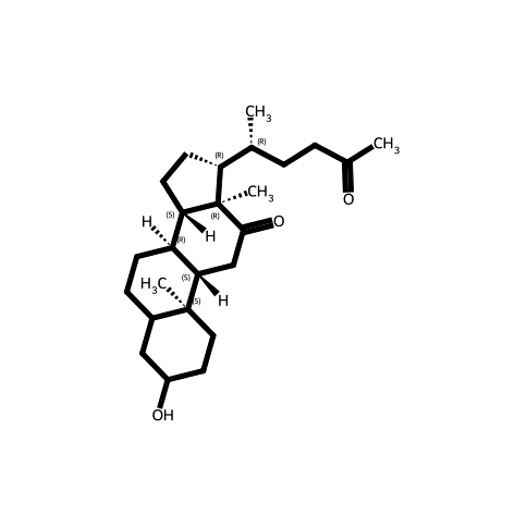 CC(=O)CC[C@@H](C)[C@H]1CC[C@H]2[C@@H]3CCC4CC(O)CC[C@]4(C)[C@H]3CC(=O)[C@]12C